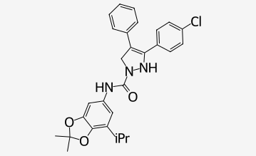 CC(C)c1cc(NC(=O)N2CC(c3ccccc3)=C(c3ccc(Cl)cc3)N2)cc2c1OC(C)(C)O2